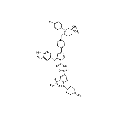 CN1CCC(Nc2ccc(S(=O)(=O)NC(=O)c3ccc(C4=CCN(CC5=C(c6ccc(Cl)cc6)CC(C)(C)CC5)CC4)cc3Oc3cnc4[nH]ccc4c3)cc2S(=O)(=O)C(F)(F)F)CC1